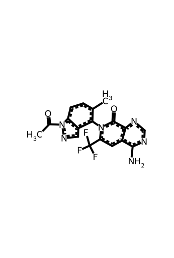 CC(=O)n1ncc2c(-n3c(C(F)(F)F)cc4c(N)ncnc4c3=O)c(C)ccc21